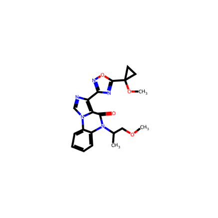 COCC(C)n1c(=O)c2c(-c3noc(C4(OC)CC4)n3)ncn2c2ccccc21